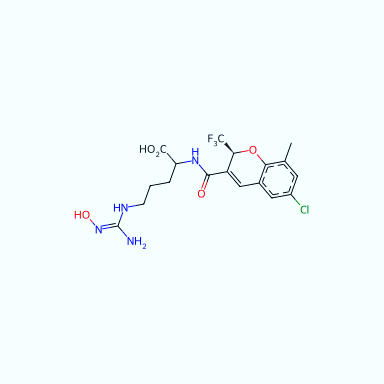 Cc1cc(Cl)cc2c1O[C@H](C(F)(F)F)C(C(=O)NC(CCCN/C(N)=N\O)C(=O)O)=C2